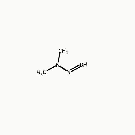 B=NN(C)C